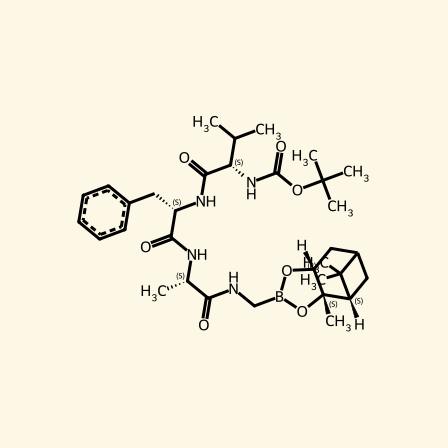 CC(C)[C@H](NC(=O)OC(C)(C)C)C(=O)N[C@@H](Cc1ccccc1)C(=O)N[C@@H](C)C(=O)NCB1O[C@@H]2CC3C[C@@H](C3(C)C)[C@]2(C)O1